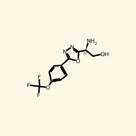 N[C@@H](CO)c1nnc(-c2ccc(OC(F)(F)F)cc2)o1